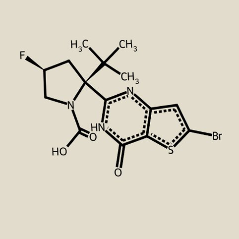 CC(C)(C)[C@]1(c2nc3cc(Br)sc3c(=O)[nH]2)C[C@H](F)CN1C(=O)O